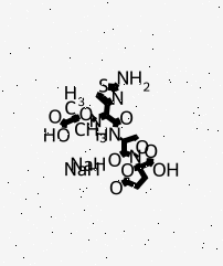 CC(C)(ON=C(C(=O)N[C@H]1CON(C2(C(=O)O)CCC(=O)O2)C1=O)c1csc(N)n1)C(=O)O.[NaH].[NaH]